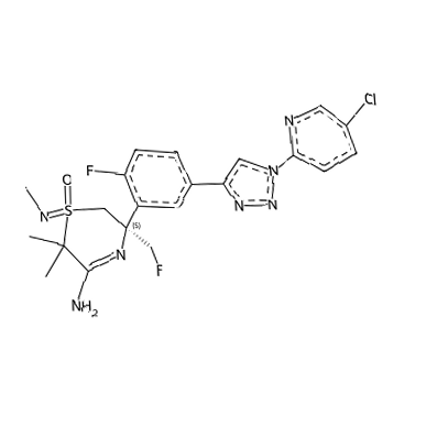 CN=S1(=O)C[C@@](CF)(c2cc(-c3cn(-c4ccc(Cl)cn4)nn3)ccc2F)N=C(N)C1(C)C